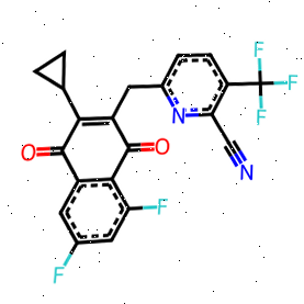 N#Cc1nc(CC2=C(C3CC3)C(=O)c3cc(F)cc(F)c3C2=O)ccc1C(F)(F)F